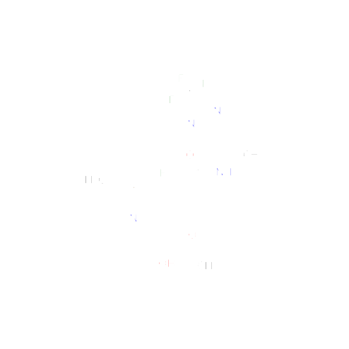 Cc1cnc(-c2cc(OC(C)CO)cc(C(=O)NC(C)c3cnc(C(F)(F)F)nc3)c2F)s1